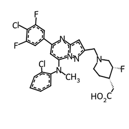 CN(c1ccccc1Cl)c1cc(-c2cc(F)c(Cl)c(F)c2)nc2cc(CN3CC[C@@H](CC(=O)O)[C@@H](F)C3)nn12